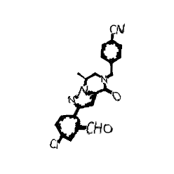 C[C@H]1CN(Cc2ccc(C#N)cc2)C(=O)c2cc(-c3ccc(Cl)cc3C=O)nn21